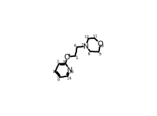 [c]1ccc(OCCN2CCOCC2)nc1